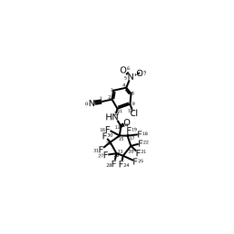 N#Cc1cc([N+](=O)[O-])cc(Cl)c1NC(=O)C1(F)C(F)(F)C(F)(F)C(F)(F)C(F)(F)C1(F)F